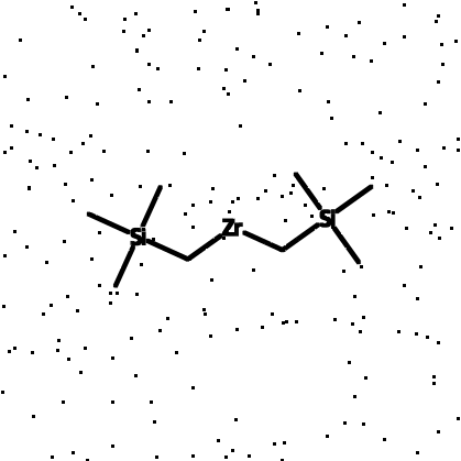 C[Si](C)(C)[CH2][Zr][CH2][Si](C)(C)C